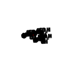 O=C(O)[C@@H]1CC[C@@H](O)CN1C(=O)OCc1ccccc1.O=C(O)[C@@H]1CC[C@@H](O)CN1C(=O)OCc1ccccc1.O=C(O)[C@@H]1CC[C@H](O)CN1C(=O)OCc1ccccc1